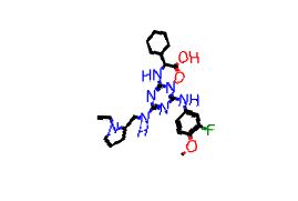 CCN1CCCC1CNc1nc(Nc2ccc(OC)c(F)c2)nc(NC(C(=O)O)C2CCCCC2)n1